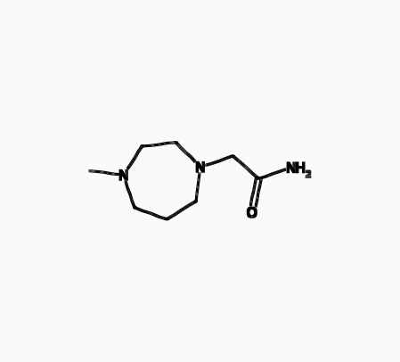 CN1CCCN(CC(N)=O)CC1